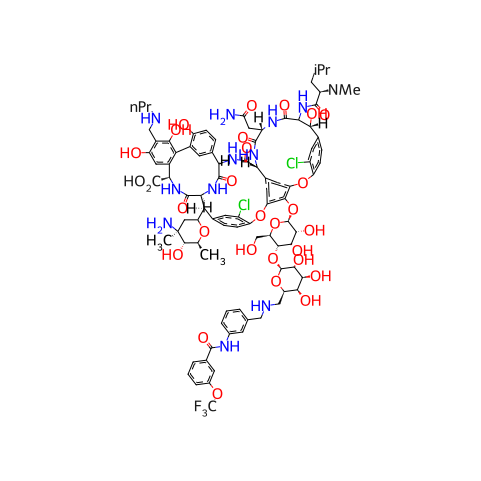 CCCNCc1c(O)cc2c(c1O)-c1cc(ccc1O)[C@H]1NC(=O)[C@@H]3NC(=O)[C@H](CC(N)=O)NC(=O)C(NC(=O)[C@@H](CC(C)C)NC)[C@H](O)c4ccc(c(Cl)c4)Oc4cc3cc(c4O[C@@H]3O[C@H](CO)[C@@H](O[C@@H]4O[C@H](CNCc5cccc(NC(=O)c6cccc(OC(F)(F)F)c6)c5)[C@H](O)[C@H](O)[C@H]4O)[C@H](O)[C@H]3O)Oc3ccc(cc3Cl)[C@@H](C3C[C@](C)(N)[C@@H](O)[C@H](C)O3)[C@H](NC1=O)C(=O)N[C@H]2C(=O)O